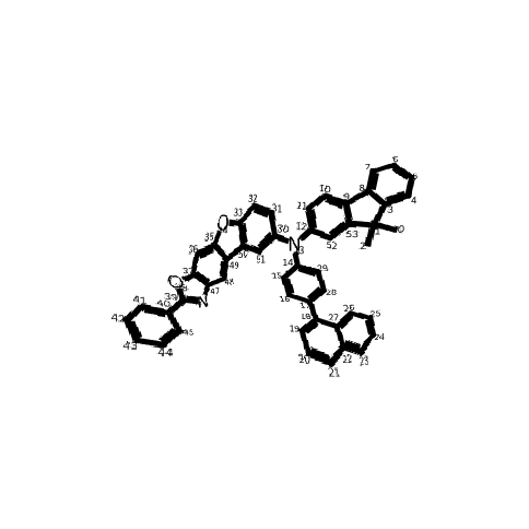 CC1(C)c2ccccc2-c2ccc(N(c3ccc(-c4cccc5ccccc45)cc3)c3ccc4oc5cc6oc(-c7ccccc7)nc6cc5c4c3)cc21